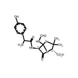 CC1(C)SC2(NC=O)[C@H](NC(=O)C(N)c3ccc(O)cc3)C(=O)N2[C@H]1C(=O)O